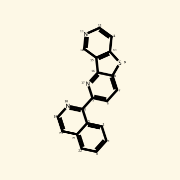 c1ccc2c(-c3ccc4sc5ccncc5c4n3)nccc2c1